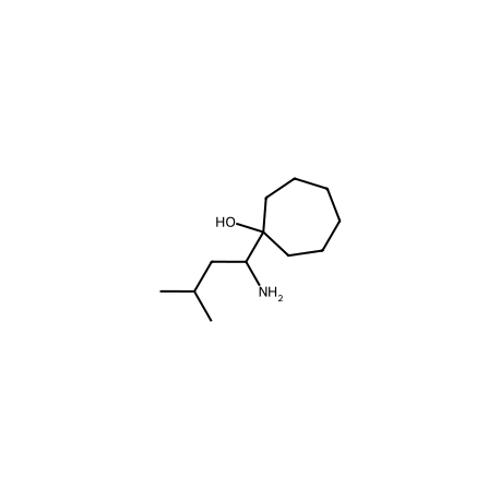 CC(C)CC(N)C1(O)CCCCCC1